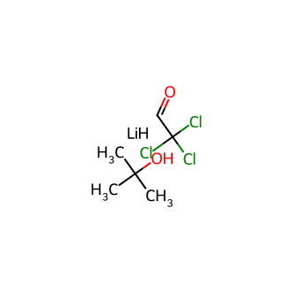 CC(C)(C)O.O=CC(Cl)(Cl)Cl.[LiH]